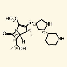 C[C@@H](O)[C@H]1C(=O)N2C(C(=O)O)=C(S[C@@H]3CN[C@H](C4CCCNC4)C3)[C@H](C)[C@H]12